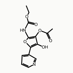 CCOC(=O)Nc1oc(-c2cccnc2)c(O)c1OC(C)=O